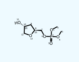 COP(=O)(OC)OC[C@@H]1C[C@@H](O)CO1